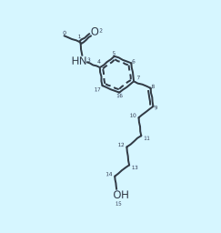 CC(=O)Nc1ccc(/C=C\CCCCCO)cc1